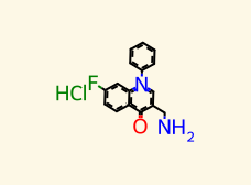 Cl.NCc1cn(-c2ccccc2)c2cc(F)ccc2c1=O